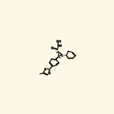 Cc1cnc(-c2ccc([C@H]3[C@H](C(=O)NO)[C@@H]3C3C=CC=CC3)cc2)s1